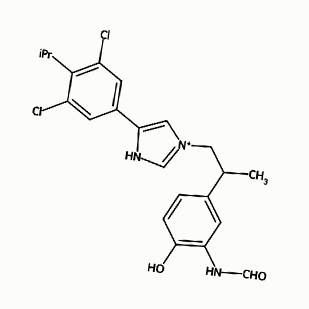 CC(C)c1c(Cl)cc(-c2c[n+](CC(C)c3ccc(O)c(NC=O)c3)c[nH]2)cc1Cl